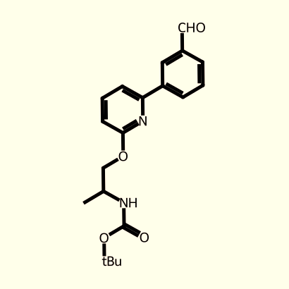 CC(COc1cccc(-c2cccc(C=O)c2)n1)NC(=O)OC(C)(C)C